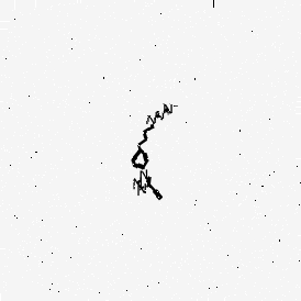 C#Cc1cn(-c2ccc(CCCCN=[N+]=[N-])cc2)nn1